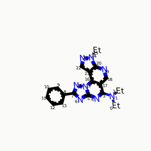 CCN(CC)c1nc2nc(-c3ccccc3)nn2c2c1cnc1c2cnn1CC